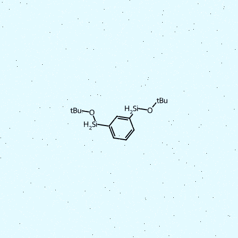 CC(C)(C)O[SiH2]c1cccc([SiH2]OC(C)(C)C)c1